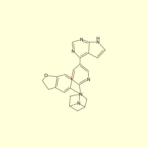 c1nc(-c2ccc(N3CC4CC(C3)N4Cc3ccc4c(c3)CCO4)nc2)c2cc[nH]c2n1